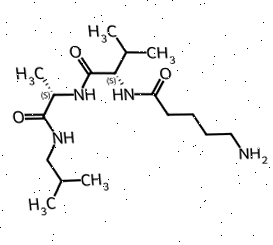 CC(C)CNC(=O)[C@H](C)NC(=O)[C@@H](NC(=O)CCCCN)C(C)C